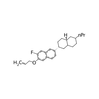 C=CCOc1cc2ccc([C@@H]3CC[C@@H]4CC(CCC)CCC4C3)cc2cc1F